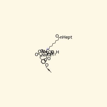 CC#CCOc1ccc(C[C@H](NC(=O)[C@@H](/C=C/CCCCCCC(=O)CCCCCCC)[C@@](O)(CC(=O)OCCN(C)C)C(=O)O)C(=O)OC)cc1